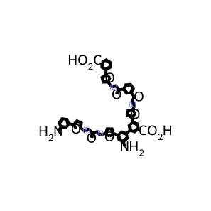 Nc1cccc(-c2ccc(/C=C/C(=O)/C=C/c3ccc(-c4cc(N)cc(-c5cc(C(=O)O)cc(-c6ccc(/C=C/C(=O)c7cccc(C(=O)/C=C/c8ccc(-c9cccc(C(=O)O)c9)o8)c7)o6)c5)c4)o3)o2)c1